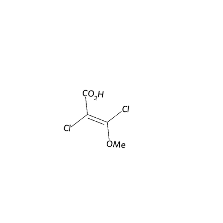 CO/C(Cl)=C(\Cl)C(=O)O